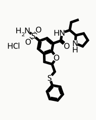 CCC(NC(=O)c1cc(S(N)(=O)=O)cc2c1OC(CSc1ccccc1)C2)C1CCCN1.Cl